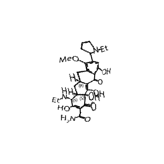 CCN[C@@H]1C(O)=C(C(N)=O)C(=O)[C@@]2(O)C(O)=C3C(=O)c4c(O)cc(C5CCCN5CC)c(OC)c4C[C@H]3C[C@@H]12